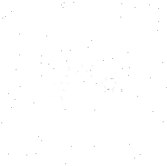 O=C1COCC2(CN(C(=O)N3CC4(CC(Cc5ncc(F)cc5Cl)C4)C3)C2)N1